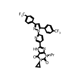 CCCn1c(=O)n(C2CC2)c(=O)c2[nH]c(-c3ccc(-n4nc(-c5ccc(C(F)(F)F)cc5)cc4-c4ccc(C(F)(F)F)cc4)nc3)nc21